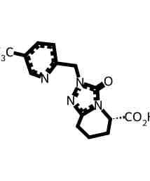 O=C(O)[C@@H]1CCCc2nn(Cc3ccc(C(F)(F)F)cn3)c(=O)n21